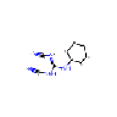 N#CN=C(NC#N)NC1CCCCC1